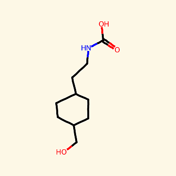 O=C(O)NCCC1CCC(CO)CC1